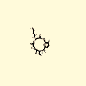 C/C=C1\NC(=O)c2ccc(F)c(n2)CNC(=O)C[C@@H](/C=C/CCS)OC(=O)[C@H](C)NC1=O